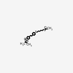 C=CC(=O)OCCCCCCSc1ccc(C=Cc2ccc(S(=O)(=O)C[C@H](C)CC)cc2)cc1